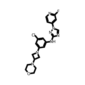 Fc1cc(-n2cnc(Nc3cc(Cl)cc(N4CC(N5CCOCC5)C4)c3)n2)ccn1